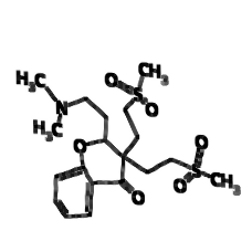 CN(C)CCC1Oc2ccccc2C(=O)C1(CCS(C)(=O)=O)CCS(C)(=O)=O